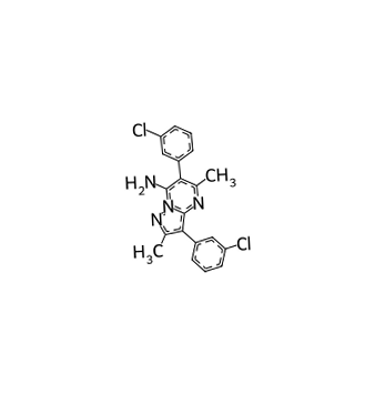 Cc1nc2c(-c3cccc(Cl)c3)c(C)nn2c(N)c1-c1cccc(Cl)c1